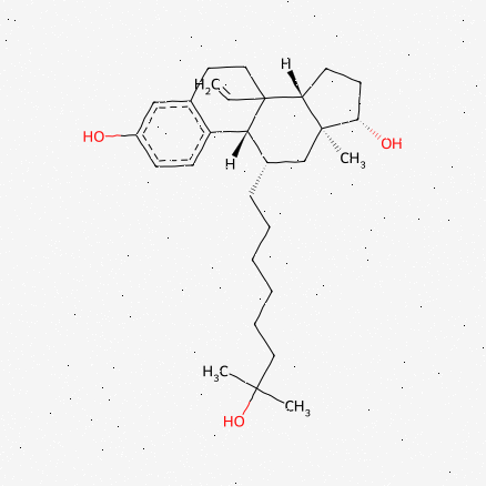 C=CC12CCc3cc(O)ccc3[C@H]1[C@@H](CCCCCCC(C)(C)O)C[C@]1(C)[C@@H](O)CC[C@@H]21